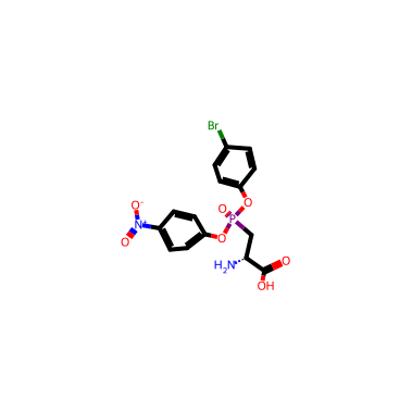 N[C@H](CP(=O)(Oc1ccc(Br)cc1)Oc1ccc([N+](=O)[O-])cc1)C(=O)O